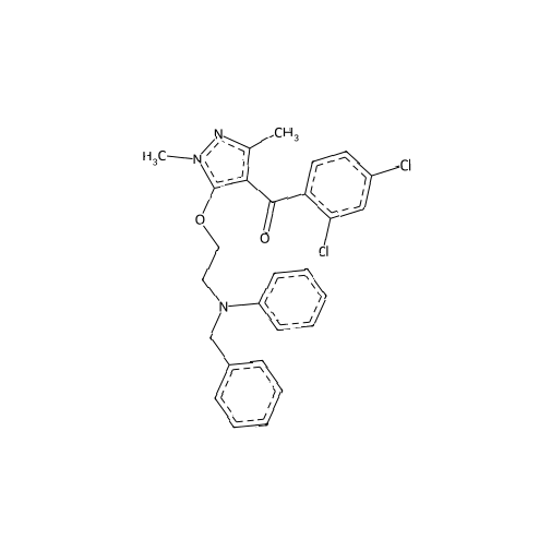 Cc1nn(C)c(OCCN(Cc2ccccc2)c2ccccc2)c1C(=O)c1ccc(Cl)cc1Cl